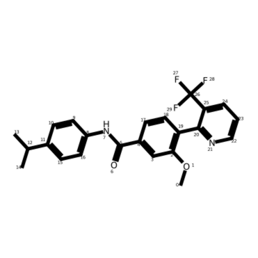 COc1cc(C(=O)Nc2ccc(C(C)C)cc2)ccc1-c1ncccc1C(F)(F)F